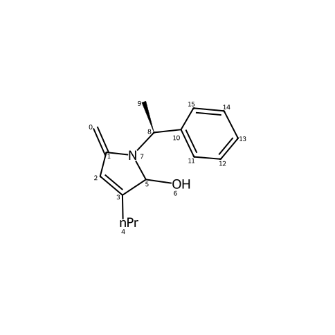 C=C1C=C(CCC)C(O)N1[C@@H](C)c1ccccc1